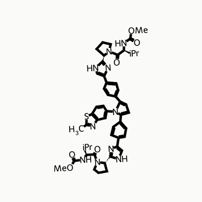 COC(=O)N[C@H](C(=O)N1CCC[C@H]1c1nc(-c2ccc(-c3ccc(-c4ccc(-c5c[nH]c([C@@H]6CCCN6C(=O)[C@@H](NC(=O)OC)C(C)C)n5)cc4)n3-c3ccc4sc(C)nc4c3)cc2)c[nH]1)C(C)C